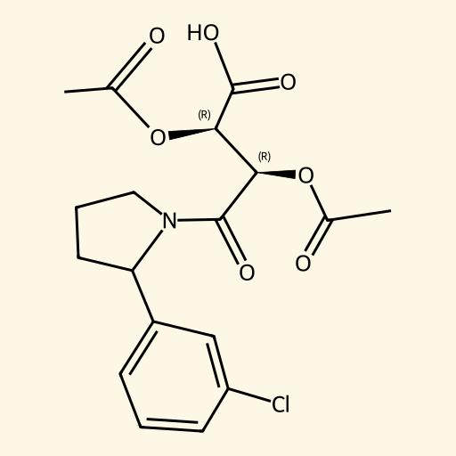 CC(=O)O[C@@H](C(=O)O)[C@@H](OC(C)=O)C(=O)N1CCCC1c1cccc(Cl)c1